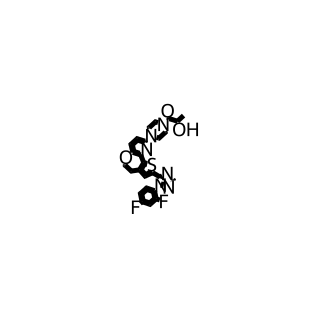 CC(O)C(=O)N1CCN(c2ccc3c(n2)-c2sc(-c4ncnn4-c4ccc(F)cc4F)cc2CCO3)CC1